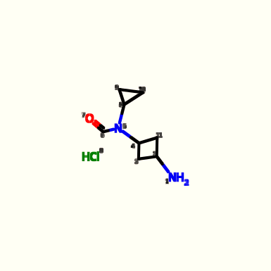 Cl.NC1CC(N(C=O)C2CC2)C1